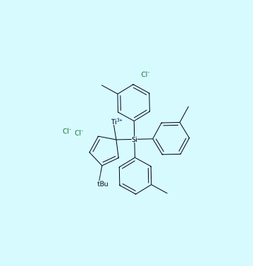 Cc1cccc([Si](c2cccc(C)c2)(c2cccc(C)c2)[C]2([Ti+3])C=CC(C(C)(C)C)=C2)c1.[Cl-].[Cl-].[Cl-]